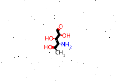 C[C@@H](O)[C@@H](N)[C@H](O)[C@H](O)C=O